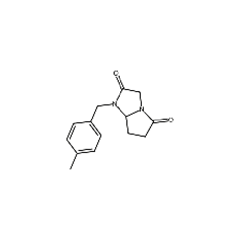 Cc1ccc(CN2C(=O)CN3C(=O)CCC32)cc1